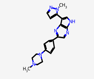 CN1CCN(c2ccc(-c3cnc4[nH]cc(-c5ccnn5C)c4n3)cc2)CC1